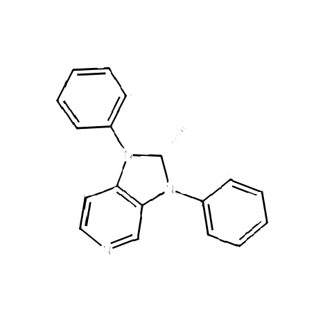 C[C@H]1N(c2ccccc2)c2ccncc2N1c1ccccc1